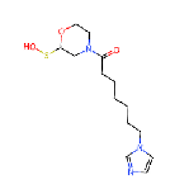 O=C(CCCCCCn1c[c]nc1)N1CCOC(SO)C1